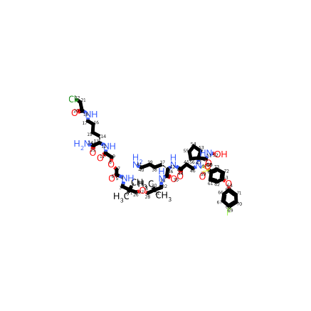 CC(C)(CNC(=O)COCC(=O)N[C@@H](CCCCNC(=O)CCl)C(N)=O)COCC(C)(C)CNC(=O)[C@H](CCCCN)NC(=O)CCN(C1(C(=O)NO)CCCC1)S(=O)(=O)c1ccc(Oc2ccc(F)cc2)cc1